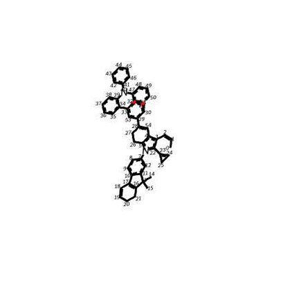 C/C=C\c1c2c(n(-c3ccc4c(c3)C(C)(C)C3=C4C=CCC3)c1C1=CC1)CCC(c1cccc(-c3ccccc3N(c3ccccc3)c3cccnc3)c1)=C2